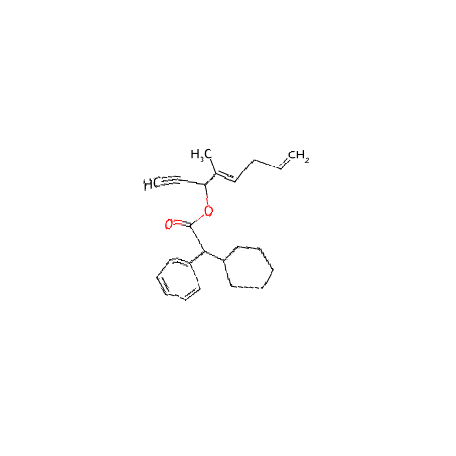 C#CC(OC(=O)C(c1ccccc1)C1CCCCC1)C(C)=CCC=C